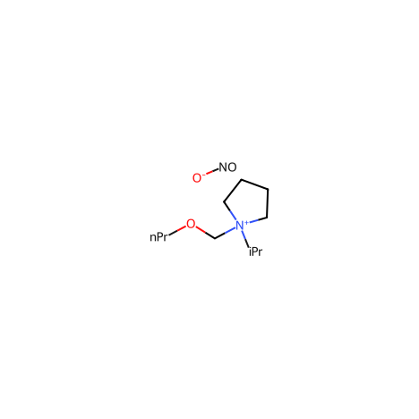 CCCOC[N+]1(C(C)C)CCCC1.O=N[O-]